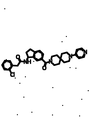 O=C(Cc1ccccc1Cl)NC1CCc2ccc(C(=O)N3CCC4(CC3)CCN(c3ccncc3)CC4)cc21